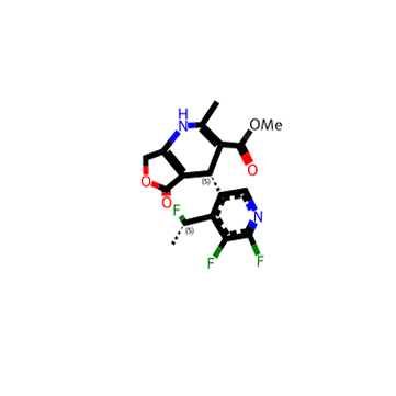 COC(=O)C1=C(C)NC2=C(C(=O)OC2)[C@H]1c1cnc(F)c(F)c1[C@H](C)F